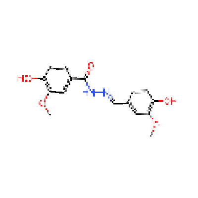 COc1cc(C=NNC(=O)c2ccc(O)c(OC)c2)ccc1O